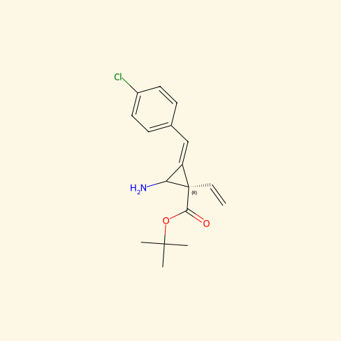 C=C[C@@]1(C(=O)OC(C)(C)C)C(=Cc2ccc(Cl)cc2)C1N